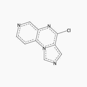 Clc1nc2cnccc2n2cncc12